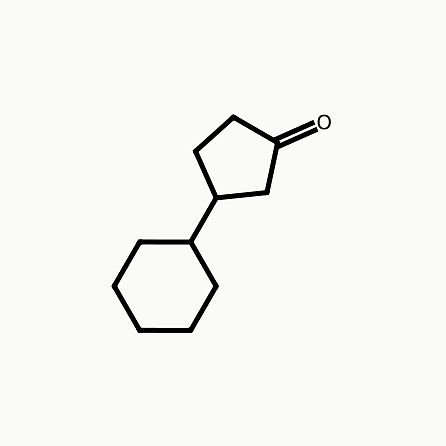 O=C1CCC(C2CCCCC2)C1